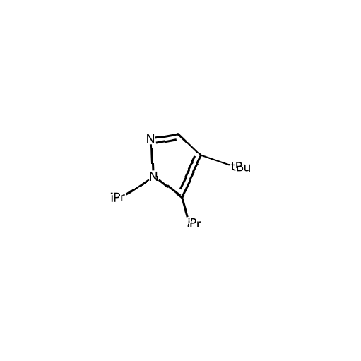 CC(C)c1c(C(C)(C)C)cnn1C(C)C